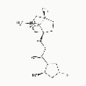 CN1C[C@]2(C)CC[C@](NCC(=O)N3C[C@H](F)C[C@H]3C#N)(C1)C2(C)C